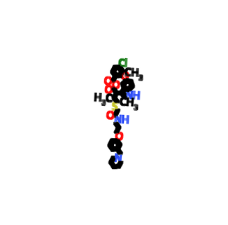 COc1ccc2[nH]c(C)c(C(C(=O)OC(=O)c3ccc(Cl)cc3)C(C)CSCC(=O)NCCCOc3cccc(CN4CCCCC4)c3)c2c1